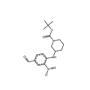 CC(C)(C)OC(=O)N1CCCC(Nc2ccc(C=O)cc2[N+](=O)[O-])C1